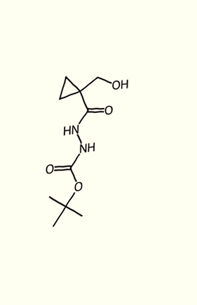 CC(C)(C)OC(=O)NNC(=O)C1(CO)CC1